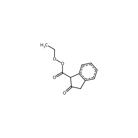 CCOOC(=O)C1C(=O)Cc2ccccc21